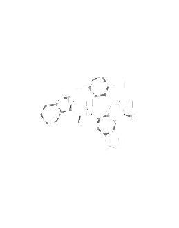 O=C1N[C@H](c2cc(F)ccc2Cl)c2c(NC(=O)c3nsc4ccccc34)cc3c(c21)OCO3